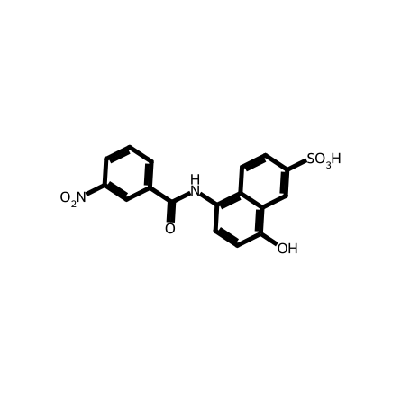 O=C(Nc1ccc(O)c2cc(S(=O)(=O)O)ccc12)c1cccc([N+](=O)[O-])c1